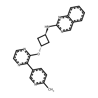 Cc1ccc(-c2nccnc2O[C@H]2C[C@H](Nc3ncc4ccccc4n3)C2)cn1